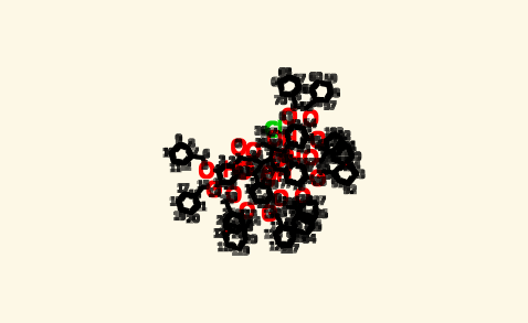 O=C(c1cc(OCc2ccccc2)c(OCc2ccccc2)c(OCc2ccccc2)c1)C1(O)O[C@H](CCl)[C@](O)(C(=O)c2cc(OCc3ccccc3)c(OCc3ccccc3)c(OCc3ccccc3)c2)[C@@](O)(C(=O)c2cc(OCc3ccccc3)c(OCc3ccccc3)c(OCc3ccccc3)c2)[C@]1(O)C(=O)c1cc(OCc2ccccc2)c(OCc2ccccc2)c(OCc2ccccc2)c1